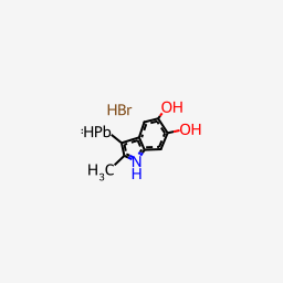 Br.Cc1[nH]c2cc(O)c(O)cc2[c]1[PbH]